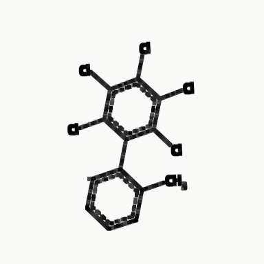 Cc1ccc[c]c1-c1c(Cl)c(Cl)c(Cl)c(Cl)c1Cl